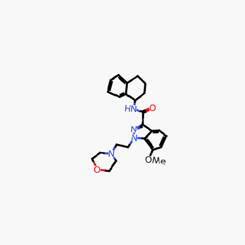 COc1cccc2c(C(=O)NC3CCCc4ccccc43)nn(CCN3CCOCC3)c12